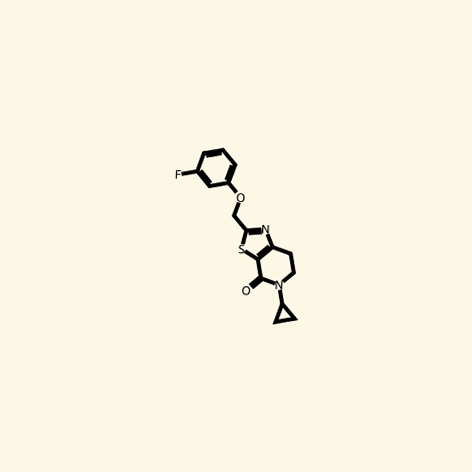 O=C1c2sc(COc3cccc(F)c3)nc2CCN1C1CC1